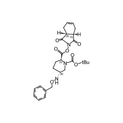 CC(C)(C)OC(=O)N1C[C@H](NOCc2ccccc2)CC[C@H]1C(=O)ON1C(=O)[C@H]2CC=CC[C@H]2C1=O